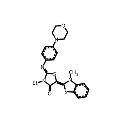 CCN1C(=O)C(=C2Sc3ccccc3N2C)SC1=Nc1ccc(N2CCOCC2)cc1